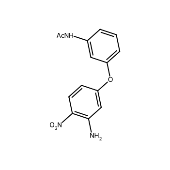 CC(=O)Nc1cccc(Oc2ccc([N+](=O)[O-])c(N)c2)c1